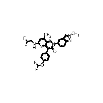 Cn1cc2cc(-n3nc4c(C(F)(F)F)cc(NCC(F)F)nc4c(-c4ccc(OC(F)F)cc4)c3=O)ccc2n1